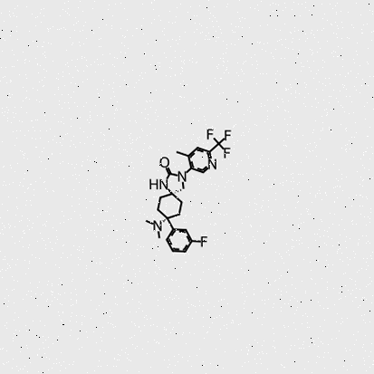 Cc1cc(C(F)(F)F)ncc1N1C[C@]2(CC[C@@](c3cccc(F)c3)(N(C)C)CC2)NC1=O